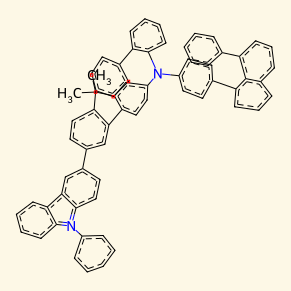 CC1(C)c2ccc(-c3ccc4c(c3)c3ccccc3n4-c3ccccc3)cc2-c2ccc(N(c3ccc(-c4cccc5cccc(-c6ccccc6)c45)cc3)c3ccccc3-c3ccccc3)cc21